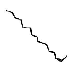 C/[C]=C\CCCCCCCCCCCC